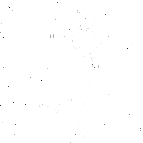 CCOC(CCNc1nc(O)n2nccc2n1)OCC